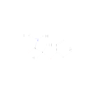 CN(C)C(=O)C(C)(C)Oc1[c]cccc1